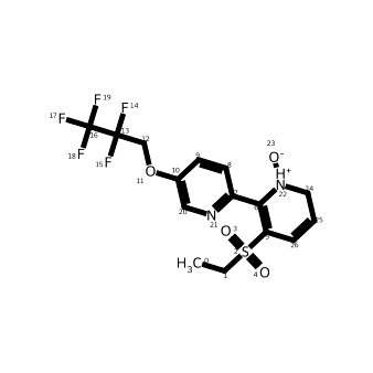 CCS(=O)(=O)C1=C(c2ccc(OCC(F)(F)C(F)(F)F)cn2)[NH+]([O-])CC=C1